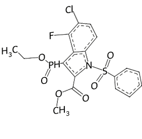 CCO[PH](=O)c1c(C(=O)OC)n(S(=O)(=O)c2ccccc2)c2ccc(Cl)c(F)c12